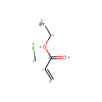 C=CC(=O)OCC(C)C.CF